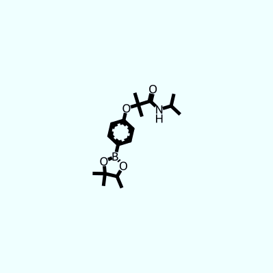 CC(C)NC(=O)C(C)(C)Oc1ccc(B2OC(C)C(C)(C)O2)cc1